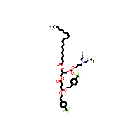 CCCCC/C=C\C/C=C\CCCCCCCC(=O)OCC(COC(=O)CCC(OCCc1ccc(C(F)(F)F)cc1)OCCc1ccc(C(F)(F)F)cc1)COC(=O)OCCCN(CC)CC